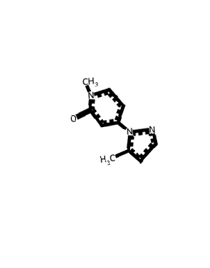 Cc1ccnn1-c1ccn(C)c(=O)c1